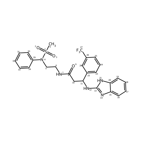 CS(=O)(=O)N(CCNC(=O)CC(Nc1nc2ccccc2[nH]1)c1cccc(C(F)(F)F)c1)c1ccccc1